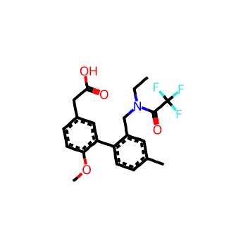 CCN(Cc1cc(C)ccc1-c1cc(CC(=O)O)ccc1OC)C(=O)C(F)(F)F